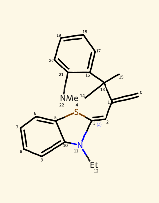 C=C(/C=C1\Sc2ccccc2N1CC)C(C)(C)c1ccccc1NC